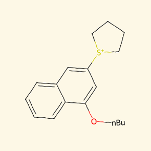 CCCCOc1cc([S+]2CCCC2)cc2ccccc12